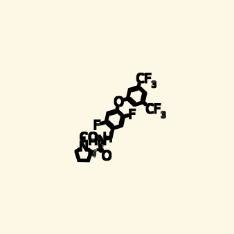 O=C(NCc1cc(F)c(Oc2cc(C(F)(F)F)cc(C(F)(F)F)c2)cc1F)[C@@H]1CCCN1C(=O)O